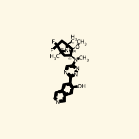 CO[C@@H]1[C@@H](N(C)c2cnc(-c3cc4ccncc4cc3O)nn2)C[C@@]2(C)N[C@]1(C)CC2(F)F